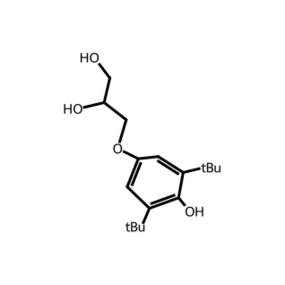 CC(C)(C)c1cc(OCC(O)CO)cc(C(C)(C)C)c1O